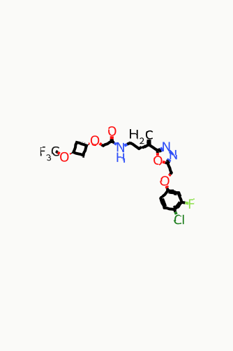 C=C(CCNC(=O)CO[C@H]1C[C@@H](OC(F)(F)F)C1)c1nnc(COc2ccc(Cl)c(F)c2)o1